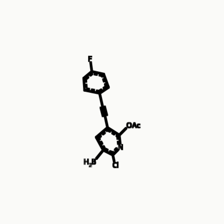 Bc1cc(C#Cc2ccc(F)cc2)c(OC(C)=O)nc1Cl